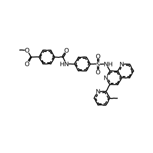 COC(=O)c1ccc(C(=O)Nc2ccc(S(=O)(=O)Nc3nc(-c4ncccc4C)cc4cccnc34)cc2)cc1